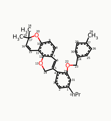 CCCc1ccc(C2=Cc3ccc4c(c3OC2)C=CC(C)(C)O4)c(OCc2ccc(C)cc2)c1